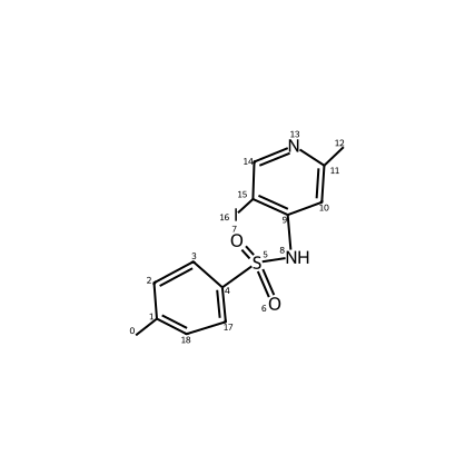 Cc1ccc(S(=O)(=O)Nc2cc(C)ncc2I)cc1